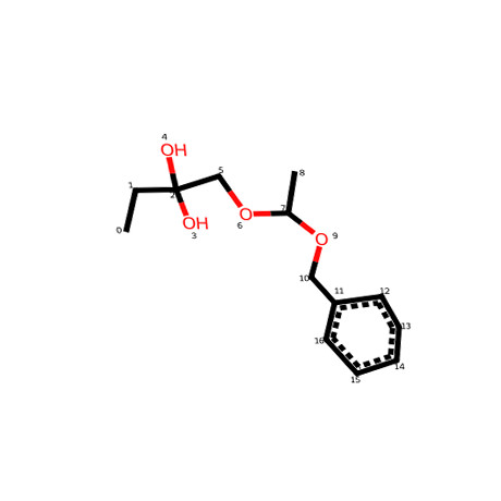 CCC(O)(O)COC(C)OCc1ccccc1